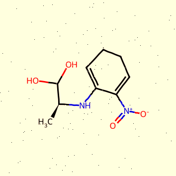 C[C@H](NC1=C[CH]CC=C1[N+](=O)[O-])C(O)O